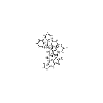 CC1COc2c(S(=O)(=NC(=O)Nc3c4c(cc5c3C[C@@H](F)C5)CCC4)NC(c3ccccc3)(c3ccccc3)c3ccccc3)cnn2C1